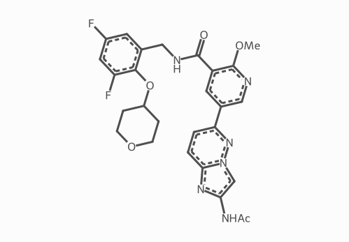 COc1ncc(-c2ccc3nc(NC(C)=O)cn3n2)cc1C(=O)NCc1cc(F)cc(F)c1OC1CCOCC1